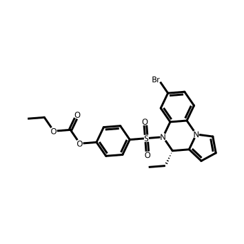 CCOC(=O)Oc1ccc(S(=O)(=O)N2c3cc(Br)ccc3-n3cccc3[C@@H]2CC)cc1